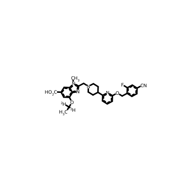 [2H]C([2H])(C)Oc1cc(C(=O)O)cc2c1nc(CN1CCC(c3cccc(OCc4ccc(C#N)cc4F)n3)CC1)n2C